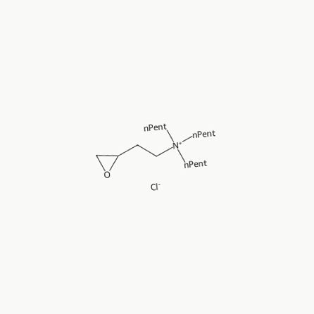 CCCCC[N+](CCCCC)(CCCCC)CCC1CO1.[Cl-]